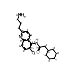 NCCCc1ccc2c(NC(=O)CC3CCCCC3)c(Cl)ccc2n1